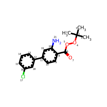 CC(C)(C)OOC(=O)c1ccc(-c2cccc(Cl)c2)cc1N